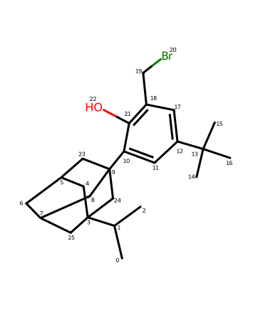 CC(C)C12CC3CC(CC(c4cc(C(C)(C)C)cc(CBr)c4O)(C3)C1)C2